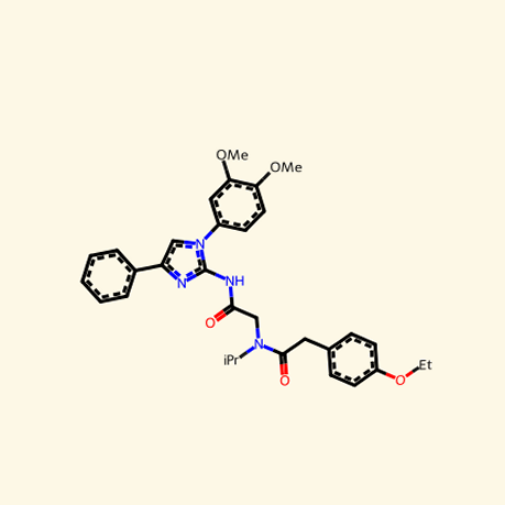 CCOc1ccc(CC(=O)N(CC(=O)Nc2nc(-c3ccccc3)cn2-c2ccc(OC)c(OC)c2)C(C)C)cc1